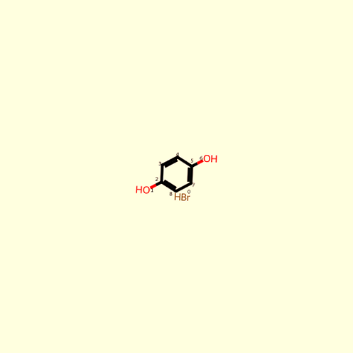 Br.Oc1ccc(O)cc1